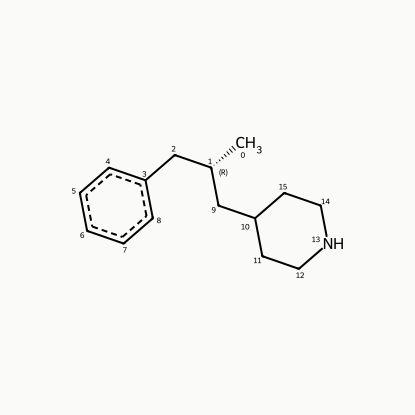 C[C@@H](Cc1ccccc1)CC1CCNCC1